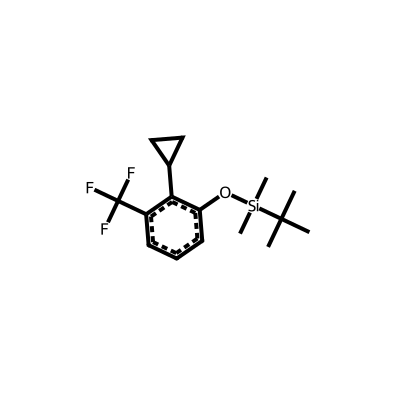 CC(C)(C)[Si](C)(C)Oc1cccc(C(F)(F)F)c1C1CC1